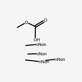 CCCCCCCCCC.CCCCCCCCCC.CCCCCCCCCC.CCCCCCCCCC.COC(=O)O